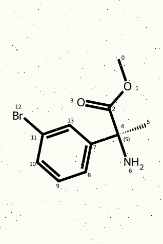 COC(=O)[C@@](C)(N)c1cccc(Br)c1